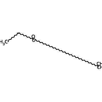 CCCCCCCC/C=C\CCCCCCCC(=O)OCCCCCCCCCCCCCCCCCCCCCCCCCCCCCCCCCCCCCCC(C)C